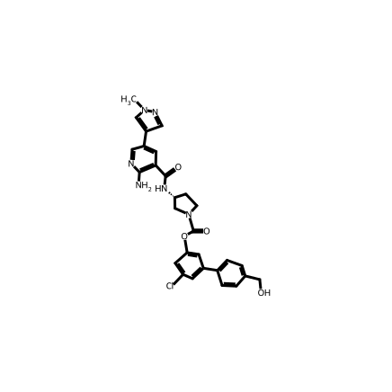 Cn1cc(-c2cnc(N)c(C(=O)N[C@@H]3CCN(C(=O)Oc4cc(Cl)cc(-c5ccc(CO)cc5)c4)C3)c2)cn1